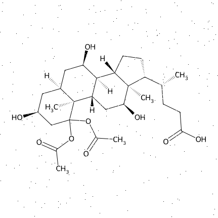 CC(=O)OC1(OC(C)=O)C[C@@H](O)C[C@H]2C[C@@H](O)[C@H]3[C@@H]4CC[C@H]([C@H](C)CCC(=O)O)[C@@]4(C)[C@@H](O)C[C@@H]3[C@]21C